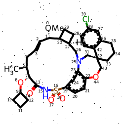 CO[C@H]1/C=C/C[C@H](C)[C@@H](OC2CCC2)C(=O)NS(=O)(=O)c2ccc3c(c2)N(C[C@@H]2CCC21)C[C@@]1(CCCc2cc(Cl)ccc21)CO3